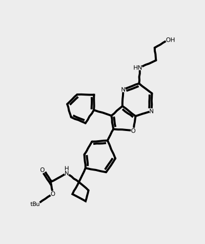 CC(C)(C)OC(=O)NC1(c2ccc(-c3oc4ncc(NCCO)nc4c3-c3ccccc3)cc2)CCC1